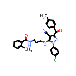 Cc1ccc(C(=O)c2nn(-c3ccc(Cl)cc3)c(NCCCNC(=O)c3ccccc3C)c2C#N)cc1